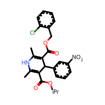 CC1=C(C(=O)OCc2ccccc2Cl)C(c2cccc([N+](=O)[O-])c2)C(C(=O)OC(C)C)=C(C)N1